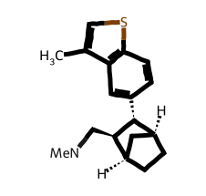 CNC[C@@H]1[C@@H]2CC[C@@H](C2)[C@H]1c1ccc2scc(C)c2c1